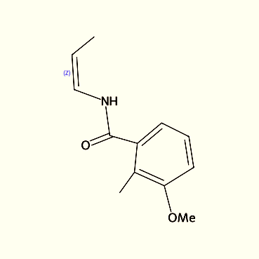 C/C=C\NC(=O)c1cccc(OC)c1C